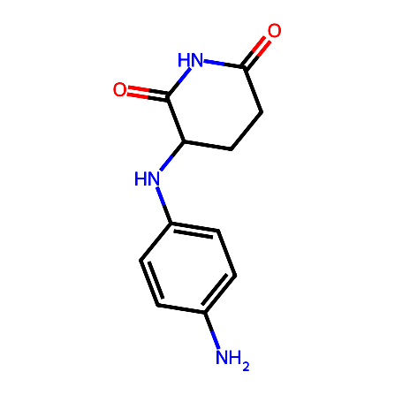 Nc1ccc(NC2CCC(=O)NC2=O)cc1